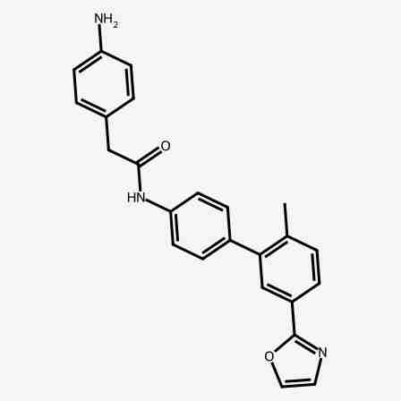 Cc1ccc(-c2ncco2)cc1-c1ccc(NC(=O)Cc2ccc(N)cc2)cc1